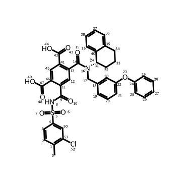 Cc1ccc(S(=O)(=O)NC(=O)c2cc(C(=O)N(Cc3cccc(Oc4ccccc4)c3)[C@H]3CCCc4ccccc43)c(C(=O)O)cc2C(=O)O)cc1Cl